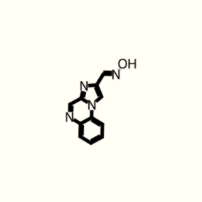 ON=Cc1cn2c(cnc3ccccc32)n1